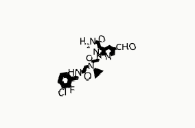 NC(=O)c1nn(CC(=O)N(CC(=O)NCc2cccc(Cl)c2F)C2CC2)c2ncc(C=O)cc12